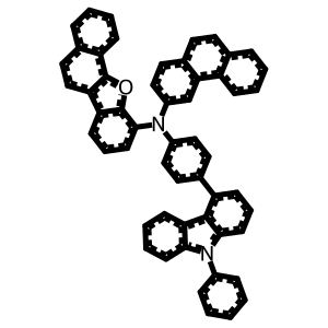 c1ccc(-n2c3ccccc3c3c(-c4ccc(N(c5ccc6ccc7ccccc7c6c5)c5cccc6c5oc5c7ccccc7ccc65)cc4)cccc32)cc1